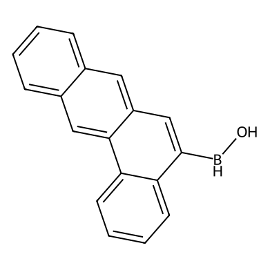 OBc1cc2cc3ccccc3cc2c2ccccc12